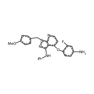 COc1ccc(Cn2nc(NC(C)C)c3c(Oc4ccc(N)cc4F)ccnc32)cc1